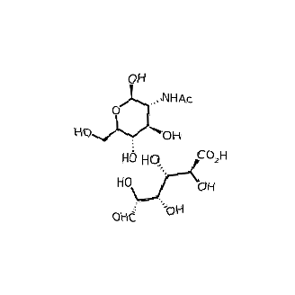 CC(=O)N[C@@H]1[C@@H](O)[C@H](O)[C@@H](CO)O[C@H]1O.O=C[C@H](O)[C@@H](O)[C@H](O)[C@H](O)C(=O)O